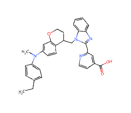 CCc1ccc(N(C)c2ccc3c(c2)OCCC3Cn2c(-c3cc(C(=O)O)ccn3)nc3ccccc32)cc1